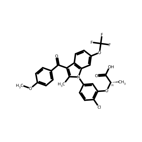 COc1ccc(C(=O)c2c(C)n(-c3ccc(Cl)c(O[C@@H](C)C(=O)O)c3)c3cc(OC(F)(F)F)ccc23)cc1